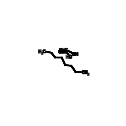 CCCCCCCC.O=CO.O=CO